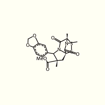 COC(=O)[C@@]1(C)C[C@@]23SS[C@@](C)(C(=O)N2C1c1ccc2c(c1)OCO2)N(C)C3=O